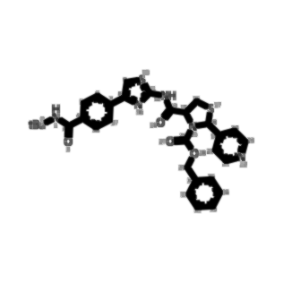 CC(C)(C)NC(=O)c1ccc(-c2csc(NC(=O)C3CSC(c4ccncc4)N3C(=O)OCc3ccccc3)n2)cc1